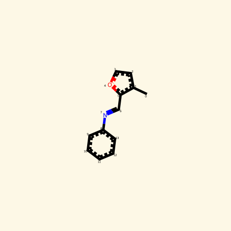 Cc1ccoc1C=Nc1ccccc1